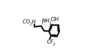 Cl.N[C@@H](CC(=O)O)Cc1ccccc1C(F)(F)F